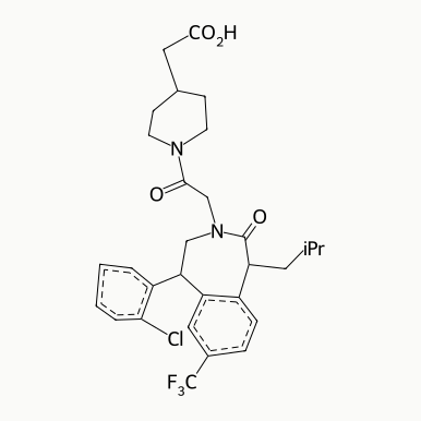 CC(C)CC1C(=O)N(CC(=O)N2CCC(CC(=O)O)CC2)CC(c2ccccc2Cl)c2cc(C(F)(F)F)ccc21